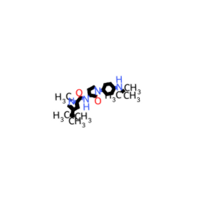 Cn1cc(C(C)(C)C)cc1C(=O)NC1CCN(C2CCC(NC(C)(C)C)CC2)C1=O